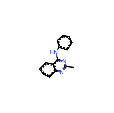 Cc1nc(Nc2ccccc2)c2ccccc2n1